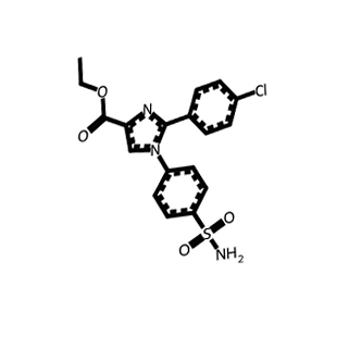 CCOC(=O)c1cn(-c2ccc(S(N)(=O)=O)cc2)c(-c2ccc(Cl)cc2)n1